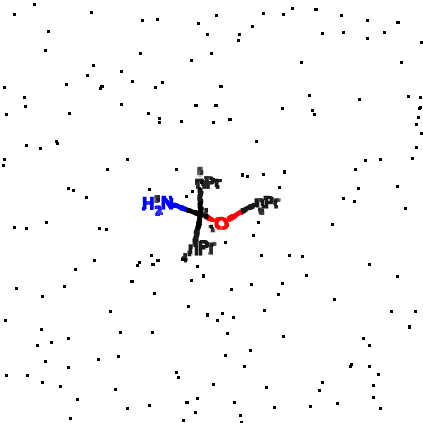 CCCOC(N)(CCC)CCC